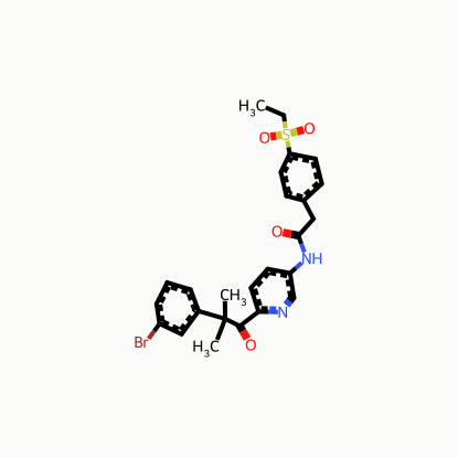 CCS(=O)(=O)c1ccc(CC(=O)Nc2ccc(C(=O)C(C)(C)c3cccc(Br)c3)nc2)cc1